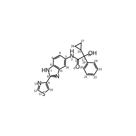 O=C(Nc1ccc2[nH]c(-c3cscn3)nc2c1)C(O)(c1ccccc1)C1CC1